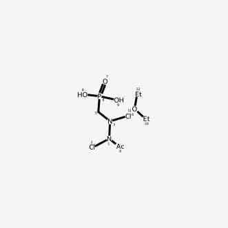 CC(=O)N(Cl)N(Cl)CP(=O)(O)O.CCOCC